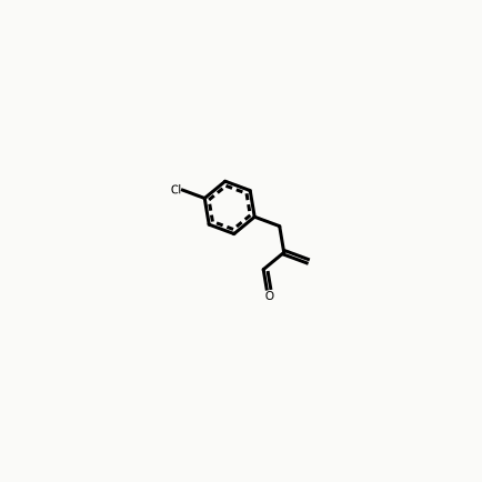 C=C(C=O)Cc1ccc(Cl)cc1